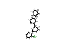 Brc1ccccc1-c1cccc(-c2ccc3c(c2)-c2ccccc2-3)c1